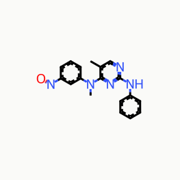 Cc1cnc(Nc2ccccc2)nc1N(C)c1cccc(N=O)c1